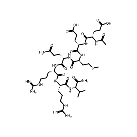 CSCC[C@H](NC(=O)[C@H](CCC(=O)O)NC(=O)[C@H](CCC(=O)O)NC(C)=O)C(=O)N[C@@H](CCC(N)=O)C(=O)N[C@@H](CCCNC(=N)N)C(=O)N[C@@H](CCCNC(=N)N)C(=O)N[C@H](C(N)=O)C(C)C